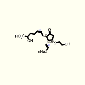 CCCCCC/C=C/[C@H]1[C@@H](SCCO)CC(=O)[C@@H]1C/C=C\CCC(O)C(=O)O